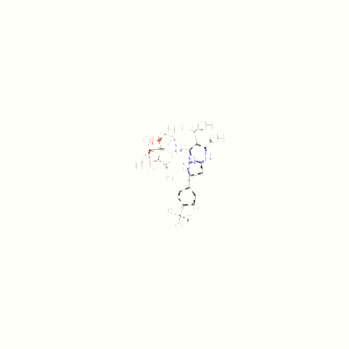 Cc1nc2cc(-c3ccc(C(F)(F)F)cc3)nn2c(N2CCC[C@](C(=O)O)(C(C)C)C2)c1C(C)C